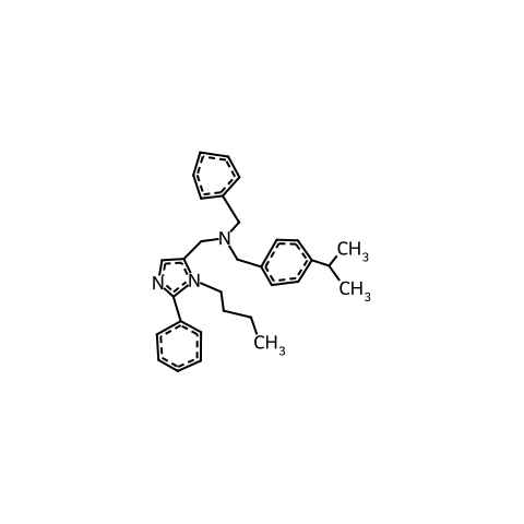 CCCCn1c(CN(Cc2ccccc2)Cc2ccc(C(C)C)cc2)cnc1-c1ccccc1